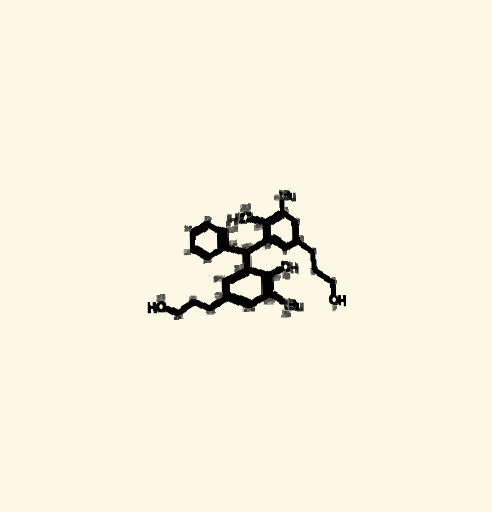 CC(C)(C)c1cc(CCCO)cc(C(c2ccccc2)c2cc(CCCO)cc(C(C)(C)C)c2O)c1O